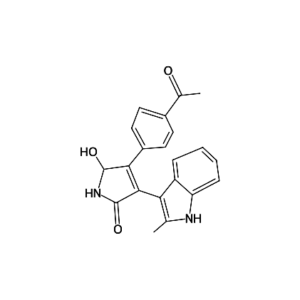 CC(=O)c1ccc(C2=C(c3c(C)[nH]c4ccccc34)C(=O)NC2O)cc1